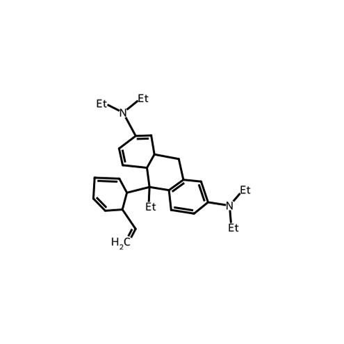 C=CC1C=CC=CC1C1(CC)c2ccc(N(CC)CC)cc2CC2C=C(N(CC)CC)C=CC21